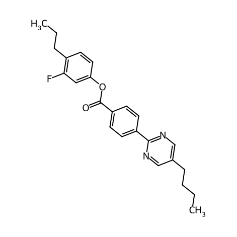 CCCCc1cnc(-c2ccc(C(=O)Oc3ccc(CCC)c(F)c3)cc2)nc1